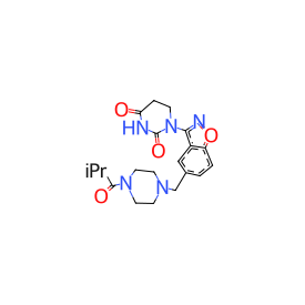 CC(C)C(=O)N1CCN(Cc2ccc3onc(N4CCC(=O)NC4=O)c3c2)CC1